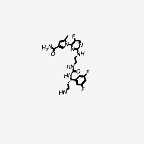 Cc1cc(C(N)=O)cn1-c1nc(NCCNC(=O)N[C@@H](CC=N)c2cc(F)cc(F)c2)ncc1F